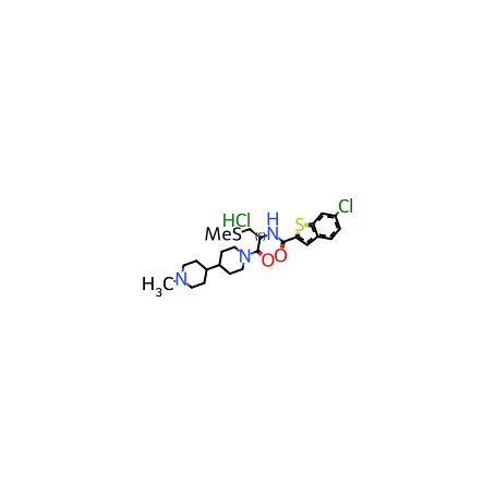 CSC[C@@H](NC(=O)c1cc2ccc(Cl)cc2s1)C(=O)N1CCC(C2CCN(C)CC2)CC1.Cl